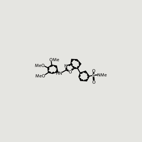 CNS(=O)(=O)c1cccc(-c2cccc3nc(Nc4cc(OC)c(OC)c(OC)c4)oc23)c1